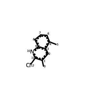 Cc1cc2c(C)cccc2nc1Cl